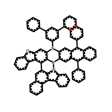 c1ccc(-c2cc(-c3ccccc3)cc(N3c4cc5c(-c6ccccc6)c6ccccc6c(-c6ccccc6)c5cc4B4c5c3cc3oc6ccccc6c3c5-c3cc5ccccc5c5c6ccccc6n4c35)c2)cc1